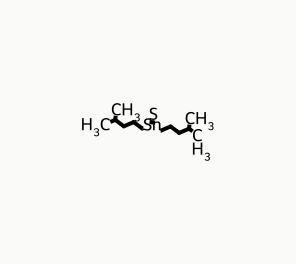 CC(C)CC[CH2][Sn](=[S])[CH2]CCC(C)C